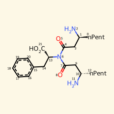 CCCCC[C@H](N)CC(=O)N(C(=O)C[C@@H](N)CCCCC)[C@@H](Cc1ccccc1)C(=O)O